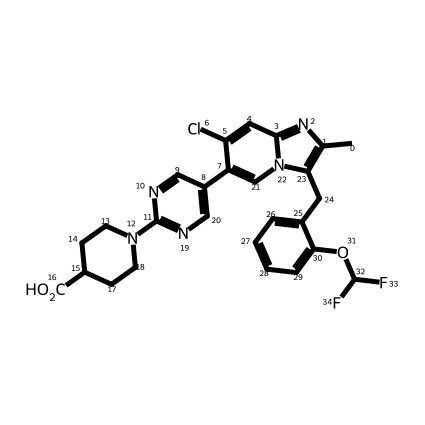 Cc1nc2cc(Cl)c(-c3cnc(N4CCC(C(=O)O)CC4)nc3)cn2c1Cc1ccccc1OC(F)F